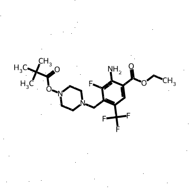 CCOC(=O)c1cc(C(F)(F)F)c(CN2CCN(OC(=O)C(C)(C)C)CC2)c(F)c1N